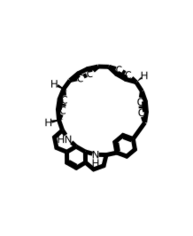 C1=CC2CCC1C1=CC=C(CC1)C1CCC3C=CC4CCC(NC4C3N1)[C@@H]1C=C[C@@H](CC1)C1=CC=C(CC1)C1C=C[C@H]2CC1